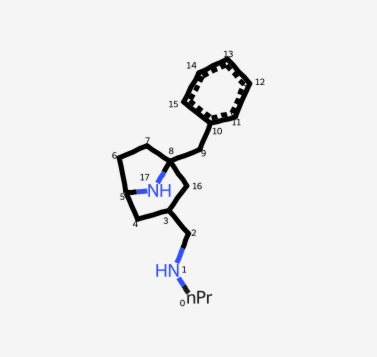 CCCNCC1CC2CCC(Cc3ccccc3)(C1)N2